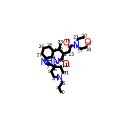 CCCN1CCC(C#N)(NC(=O)C(CC(=O)N2CCOCC2)C(C)C2CCCCC2)CC1